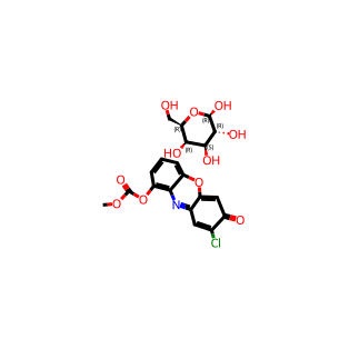 COC(=O)Oc1cccc2oc3cc(=O)c(Cl)cc-3nc12.OC[C@H]1O[C@@H](O)[C@H](O)[C@@H](O)[C@H]1O